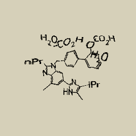 CC(=O)O.CCCc1nc2c(C)cc(-c3nc(C(C)C)c(C)[nH]3)cc2n1Cc1ccc(-c2ccccc2OC(=O)O)cc1.O.O